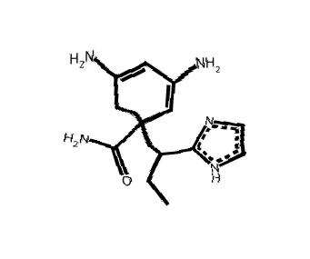 CCC(c1ncc[nH]1)C1(C(N)=O)C=C(N)C=C(N)C1